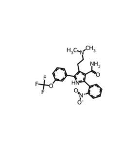 CN(C)CCc1c(-c2cccc(OC(F)(F)F)c2)[nH]c(-c2ccccc2[N+](=O)[O-])c1C(N)=O